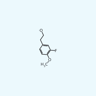 COc1ccc(CC[O])cc1F